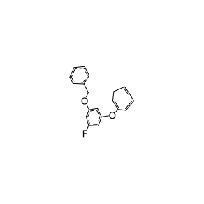 Fc1cc(OCc2ccccc2)cc(OC2=CCC=CC=C2)c1